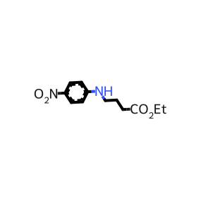 CCOC(=O)CCCNc1ccc([N+](=O)[O-])cc1